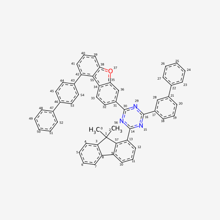 CC1(C)c2ccccc2-c2cccc(-c3nc(-c4cccc(-c5ccccc5)c4)nc(-c4ccc5c(c4)oc4cccc(-c6ccc(-c7ccccc7)cc6)c45)n3)c21